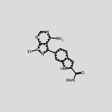 CCn1nc(-c2ccc3cc(C(=O)NC)[nH]c3c2)c2c(N)ncnc21